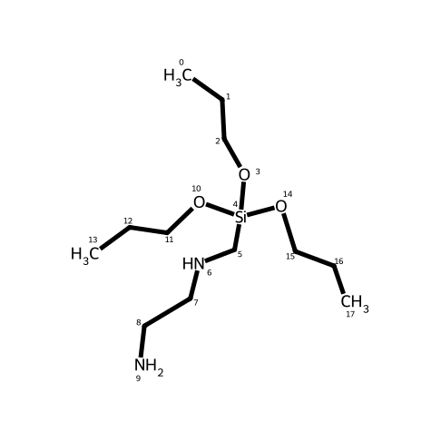 CCCO[Si](CNCCN)(OCCC)OCCC